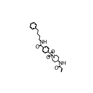 C=CC(=O)NC1CCN(S(=O)(=O)c2ccc(C(=O)NCCCCc3ccccc3)cc2)CC1